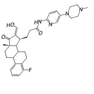 CN1CCN(c2ccc(NC(=O)CC[C@@H]3/C(=C/O)C(=O)[C@@]4(C)CCC5c6cccc(F)c6CCC5C34)nc2)CC1